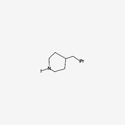 CC(C)CC1CCN(I)CC1